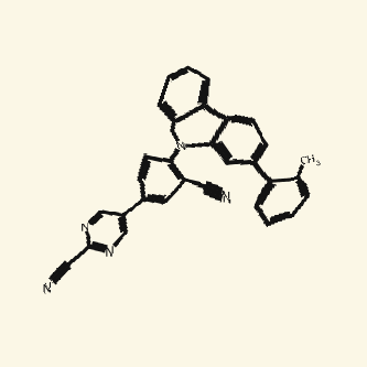 Cc1ccccc1-c1ccc2c3ccccc3n(-c3ccc(-c4cnc(C#N)nc4)cc3C#N)c2c1